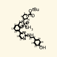 CC(C)(C)OC(=O)N1CCC(N(Cc2cccc(-c3ccnc(NCCc4ccc(O)cc4)n3)c2)S(C)(=O)=O)C1